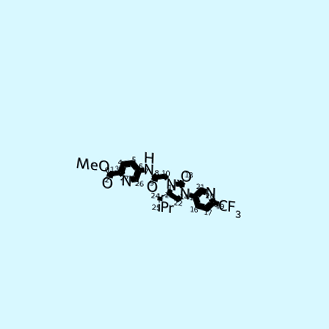 COC(=O)c1ccc(NC(=O)CN2C(=O)N(c3ccc(C(F)(F)F)nc3)C[C@@H]2CC(C)C)cn1